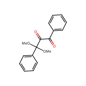 COC(OC)(C(=O)C(=O)c1ccccc1)c1ccccc1